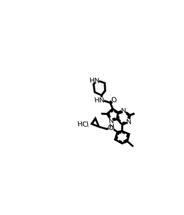 Cc1ccc(OCC2CC2)c(-c2nc(C)nc3c(C(=O)NC4CCNCC4)c(C)[nH]c23)c1.Cl